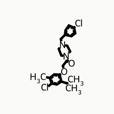 Cc1cc(OCC(=O)N2CCN(Cc3ccc(Cl)cc3)CC2)c(C(C)C)cc1Cl